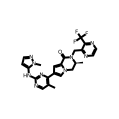 Cc1cnc(Nc2ccnn2C)nc1-c1cc2n(c1)C[C@H](C)N(Cc1nccnc1C(F)(F)F)C2=O